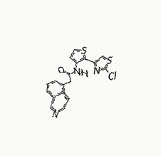 O=C(Cc1cccc2cnccc12)Nc1ccsc1-c1csc(Cl)n1